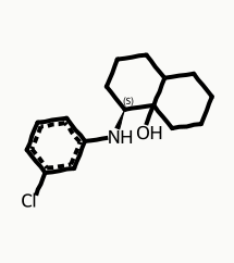 OC12CCCCC1CCC[C@@H]2Nc1cccc(Cl)c1